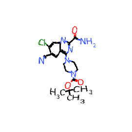 CC(C)(C)OC(=O)N1CCN(c2nc(C(N)=O)nc3cc(Cl)c(C#N)cc23)CC1